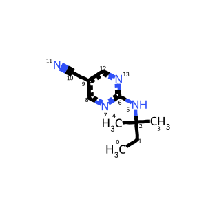 CCC(C)(C)Nc1ncc(C#N)cn1